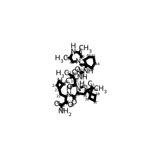 C[C@H]1CN(CC2(NC(=O)N[C@H](C(=O)N3C[C@]4(C[C@H]3C(=O)NC(CC3CCC3)C(=O)C(N)=O)C(C)(C)C43CCC3)C(C)(C)C)CCCCC2)C[C@H](C)N1